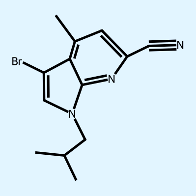 Cc1cc(C#N)nc2c1c(Br)cn2CC(C)C